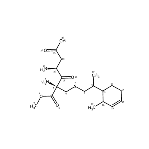 COC(=O)[C@@](N)(CSCC(C)C1CCC=CC1C)C(=O)[C@@H](N)CC(=O)O